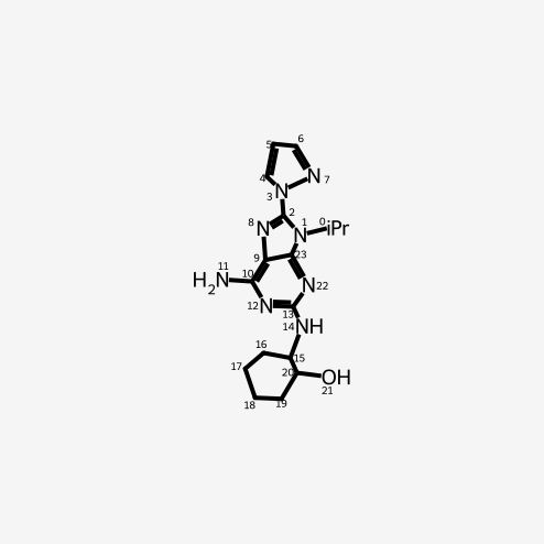 CC(C)n1c(-n2cccn2)nc2c(N)nc(NC3CCCCC3O)nc21